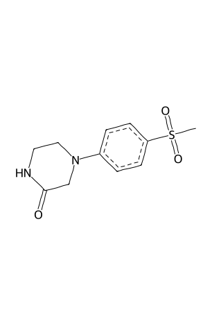 CS(=O)(=O)c1ccc(N2CCNC(=O)C2)cc1